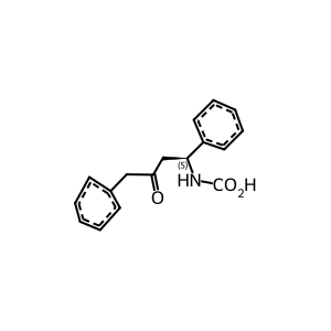 O=C(Cc1ccccc1)C[C@H](NC(=O)O)c1ccccc1